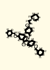 Cc1c(-c2ccc(OCc3ccccc3)cc2)n(Cc2ccc(OCCN3C=CC=CC=C3)cc2)c2ccc(OCc3ccccc3)cc12